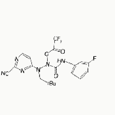 CC(C)(C)CN(c1ccnc(C#N)n1)N(OC(=O)C(F)(F)F)C(=O)Nc1cccc(F)c1